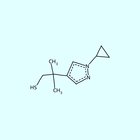 CC(C)(CS)c1cnn(C2CC2)c1